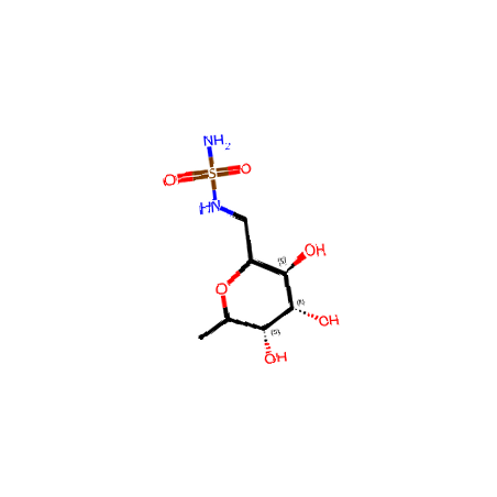 CC1OC(CNS(N)(=O)=O)[C@@H](O)[C@H](O)[C@@H]1O